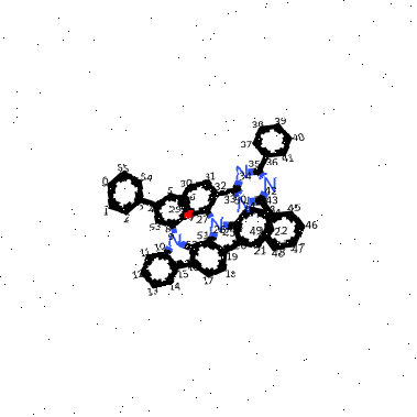 c1ccc(-c2cccc(-n3c4ccccc4c4ccc5c6ccccc6n(-c6ccccc6-c6nc(-c7ccccc7)nc(-c7ccccc7)n6)c5c43)c2)cc1